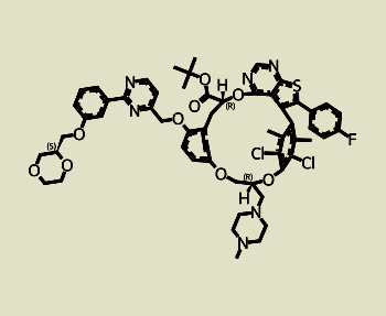 Cc1c(Cl)c2c(Cl)c(C)c1-c1c(-c3ccc(F)cc3)sc3ncnc(c13)O[C@@H](C(=O)OC(C)(C)C)Cc1cc(ccc1OCc1ccnc(-c3cccc(OC[C@@H]4COCCO4)c3)n1)OC[C@@H](CN1CCN(C)CC1)O2